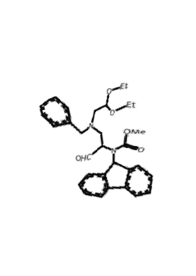 CCOC(CN(Cc1ccccc1)CC(C=O)N(C(=O)OC)C1c2ccccc2-c2ccccc21)OCC